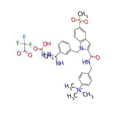 CC(=O)O.C[N+](C)(C)c1ccc(CNC(=O)c2cc3cc(S(C)(=O)=O)ccc3n2Cc2cccc(C(=N)N)c2)cc1.O=C([O-])C(F)(F)F